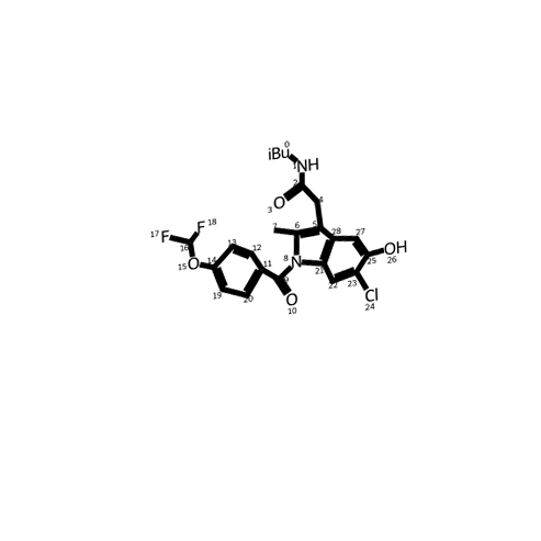 CCC(C)NC(=O)Cc1c(C)n(C(=O)c2ccc(OC(F)F)cc2)c2cc(Cl)c(O)cc12